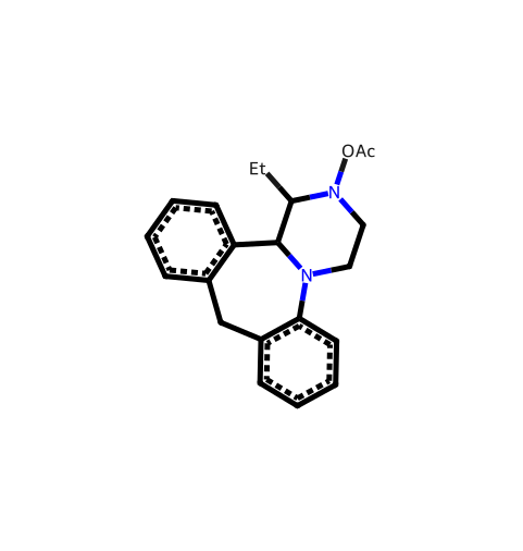 CCC1C2c3ccccc3Cc3ccccc3N2CCN1OC(C)=O